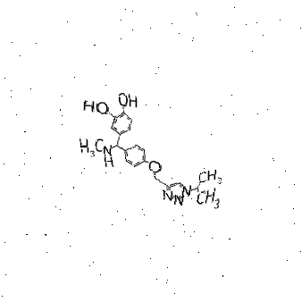 CNC(c1ccc(OCc2cn(C(C)C)nn2)cc1)c1ccc(O)c(O)c1